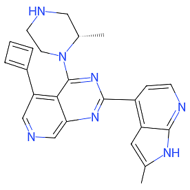 Cc1cc2c(-c3nc(N4CCNC[C@@H]4C)c4c(C5=CC=C5)cncc4n3)ccnc2[nH]1